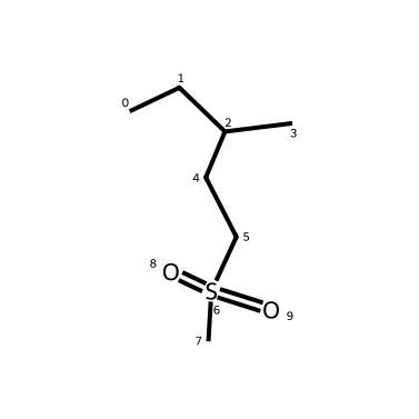 CCC(C)CCS(C)(=O)=O